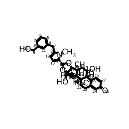 Cn1c(Cc2cccc(CO)c2)ccc1[C@@H]1O[C@@H]2C[C@H]3[C@@H]4CCC5=CC(=O)C=C[C@]5(C)[C@H]4[C@@H](O)C[C@]3(C)[C@]2(C(=O)CO)O1